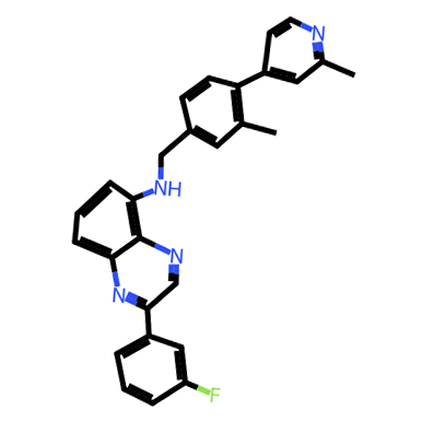 Cc1cc(-c2ccc(CNc3cccc4nc(-c5cccc(F)c5)cnc34)cc2C)ccn1